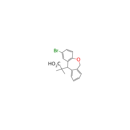 CC(C)(C(=O)O)C1c2ccccc2COc2ccc(Br)cc21